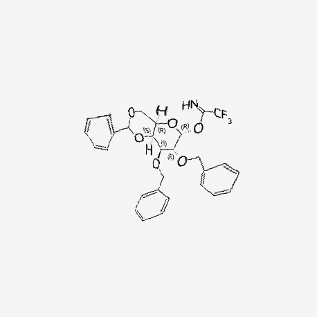 N=C(O[C@H]1O[C@@H]2COC(c3ccccc3)O[C@@H]2[C@H](OCc2ccccc2)[C@H]1OCc1ccccc1)C(F)(F)F